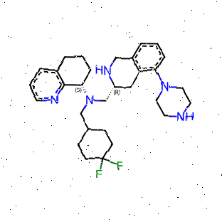 FC1(F)CCC(CN(C[C@H]2Cc3c(cccc3N3CCNCC3)CN2)[C@H]2CCCc3cccnc32)CC1